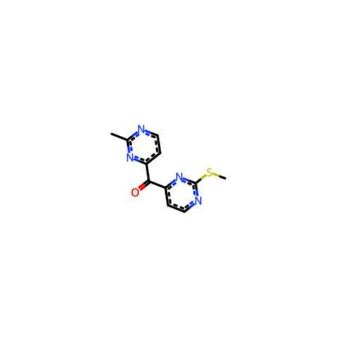 CSc1nccc(C(=O)c2ccnc(C)n2)n1